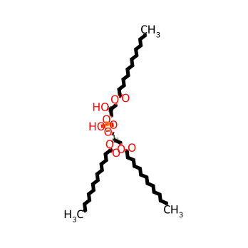 CCCCCCCCCCCCCC(=O)OC[C@H](O)COP(=O)(O)OC[C@H](COC(=O)CCCCCCCCCCCCC)OC(=O)CCCCCCCCCCCCC